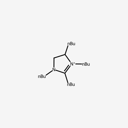 CCCCC1=[N+](CCCC)C(CCCC)CN1CCCC